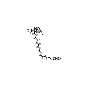 O=[C]CCCC/C=C\CCCCCCCCCCC([N+](=O)[O-])([N+](=O)[O-])[N+](=O)[O-]